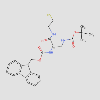 CC(C)(C)OC(=O)NC[C@H](NC(=O)OCC1c2ccccc2-c2ccccc21)C(=O)NCCS